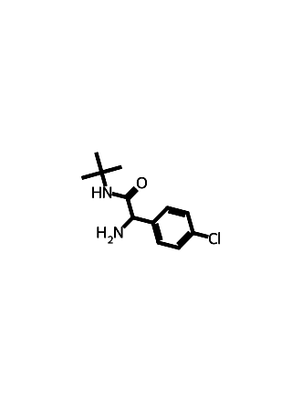 CC(C)(C)NC(=O)C(N)c1ccc(Cl)cc1